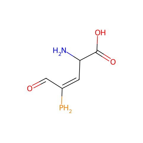 NC(/C=C(/P)C=O)C(=O)O